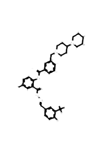 O=C(Nc1ccc(Cl)cc1C(=O)NN=Cc1ccc(Cl)c(C(F)(F)F)c1)c1cccc(CN2CCC(N3CCCCC3)CC2)c1